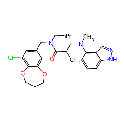 CC(C)CN(Cc1cc(Cl)c2c(c1)OCCCO2)C(=O)C(C)CN(C)c1cccc2[nH]ncc12